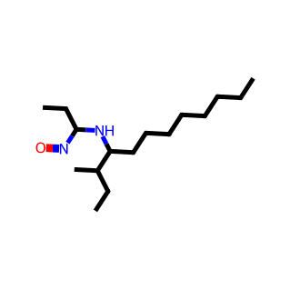 CCCCCCCCC(NC(CC)N=O)C(C)CC